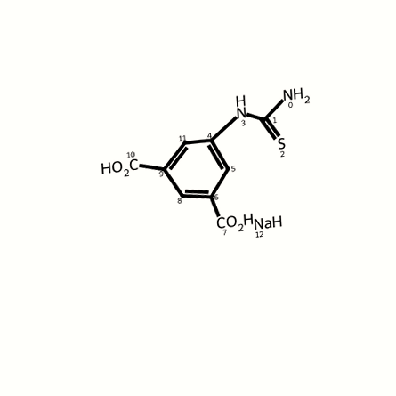 NC(=S)Nc1cc(C(=O)O)cc(C(=O)O)c1.[NaH]